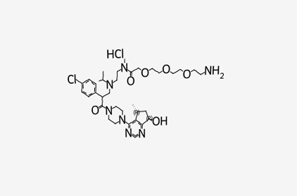 CC(C)N(CCN(C)C(=O)COCCOCCOCCN)CC(C(=O)N1CCN(c2ncnc3c2[C@H](C)C[C@H]3O)CC1)c1ccc(Cl)cc1.Cl